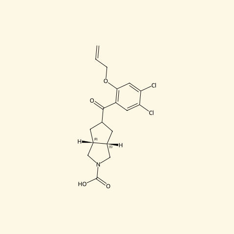 C=CCOc1cc(Cl)c(Cl)cc1C(=O)C1C[C@@H]2CN(C(=O)O)C[C@@H]2C1